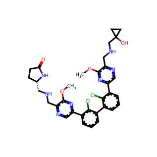 COc1nc(-c2cccc(-c3cccc(-c4cnc(CNCC5(O)CC5)c(OC)n4)c3Cl)c2Cl)cnc1CNC[C@@H]1CCC(=O)N1